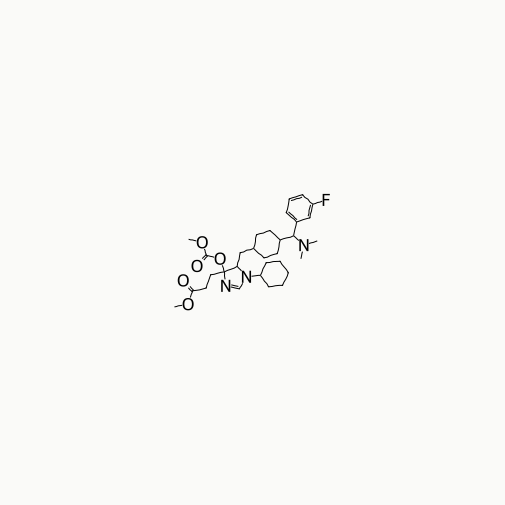 COC(=O)CCC1(OC(=O)OC)N=CN(C2CCCCC2)C1CC1CCC(C(c2cccc(F)c2)N(C)C)CC1